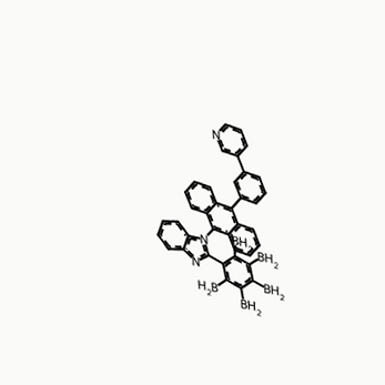 Bc1c(B)c(B)c(-c2nc3ccccc3n2-c2c3ccccc3c(-c3cccc(-c4cccnc4)c3)c3ccccc23)c(B)c1B